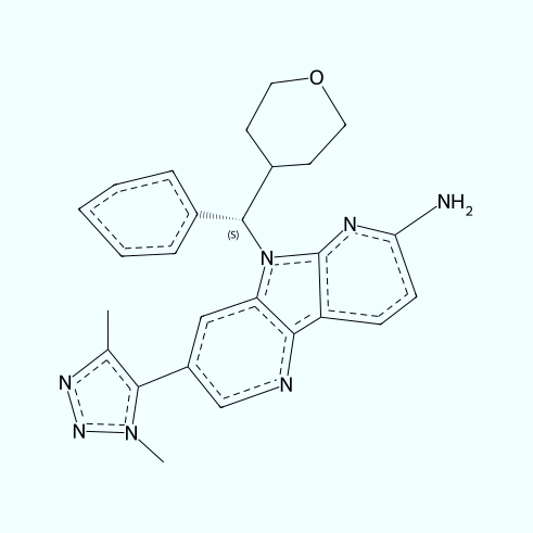 Cc1nnn(C)c1-c1cnc2c3ccc(N)nc3n([C@H](c3ccccc3)C3CCOCC3)c2c1